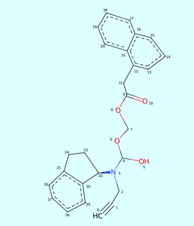 C#CCN(C(O)OCOC(=O)Cc1cccc2ccccc12)[C@@H]1CCc2ccccc21